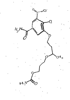 CC(CCOc1cc(C(N)=O)cc([N+](=O)[O-])c1Cl)OCCCOC(N)=O